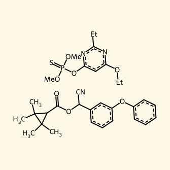 CC1(C)C(C(=O)OC(C#N)c2cccc(Oc3ccccc3)c2)C1(C)C.CCOc1cc(OP(=S)(OC)OC)nc(CC)n1